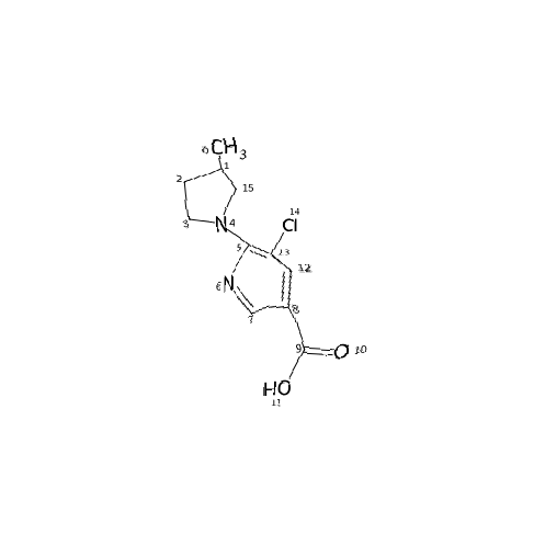 CC1CCN(c2ncc(C(=O)O)cc2Cl)C1